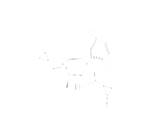 COc1ccc(C)c([C@]2(CC(O)C3CC3C)CCN(CC3CC3)[C@H](C)C2)c1